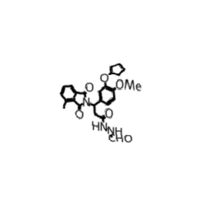 COc1ccc(C(CC(=O)NNC=O)N2C(=O)c3cccc(C)c3C2=O)cc1OC1CCCC1